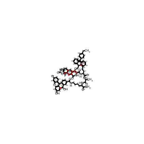 CCc1ccc(C(=O)NCCCCC(NC(=O)C(Cc2ccc(C(F)(F)O[PH](=O)O)cc2)NC(=O)C(Cc2ccccc2)NC(=O)OCC2c3ccccc3-c3ccccc32)C(=O)NC(C)C(=O)NC(CCCCNC(=O)c2ccc(-c3c4ccc(=O)cc-4oc4cc(O)ccc34)c(C(=O)O)c2)C(N)=O)cc1